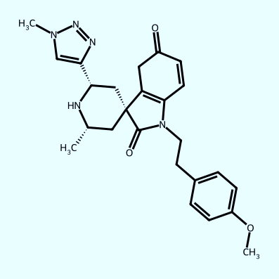 COc1ccc(CCN2C(=O)[C@]3(C[C@@H](c4cn(C)nn4)N[C@@H](C)C3)C3=C2C=CC(=O)C3)cc1